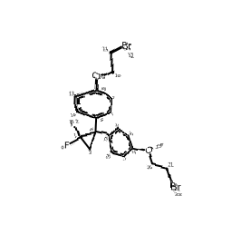 FC1(F)CC1(c1ccc(OCCBr)cc1)c1ccc(OCCBr)cc1